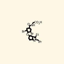 CCc1c2cc(Oc3c(Br)cc(C(=O)NCC(=O)O)cc3Br)ccc2nn1CC(C)C